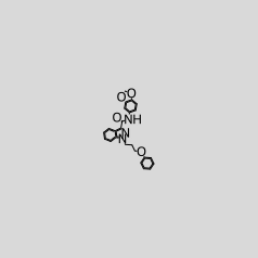 O=C(Nc1ccc2c(c1)OCO2)c1nn(CCCOc2ccccc2)c2ccccc12